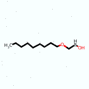 CCCCCCCCCOCBO